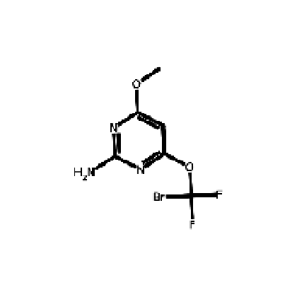 COc1cc(OC(F)(F)Br)nc(N)n1